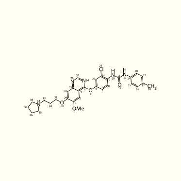 COc1cc2c(Oc3ccc(NC(=O)Nc4ccc(C)cc4)c(Cl)c3)ncnc2cc1OCCCN1CCCC1